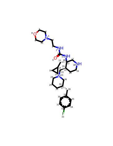 O=C(NCCN1CCOCC1)N[C@@]1(CC2CC2)CNCC[C@H]1CN1CCC[C@@H](Cc2ccc(F)cc2)C1